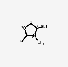 CCC1COC(C)N1C(F)(F)F